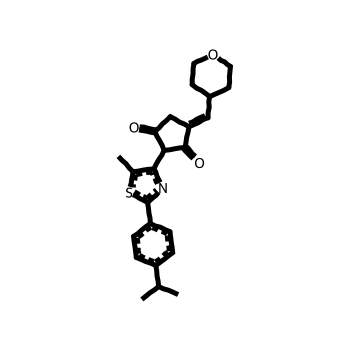 Cc1sc(-c2ccc(C(C)C)cc2)nc1C1C(=O)C/C(=C\C2CCOCC2)C1=O